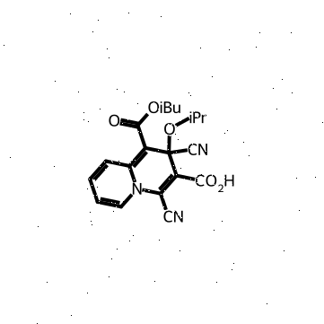 CC(C)COC(=O)C1=C2C=CC=CN2C(C#N)=C(C(=O)O)C1(C#N)OC(C)C